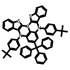 CC(C)(C)c1ccc(N2c3cc(C(c4ccccc4)(c4ccccc4)c4ccccc4)cc4c3B(c3sc5ccccc5c32)c2sc3ccccc3c2N4c2ccc(C(C)(C)C)cc2)cc1